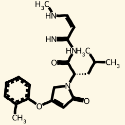 CN/C=C\C(=N)NC(=O)[C@H](CC(C)C)N1CC(Oc2ccccc2C)=CC1=O